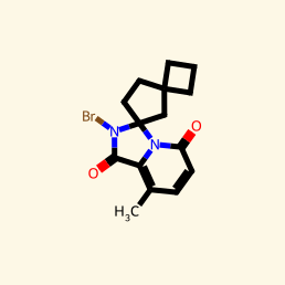 Cc1ccc(=O)n2c1C(=O)N(Br)C21CCC2(CCC2)C1